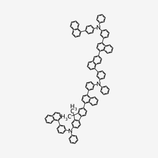 CC1(C)c2cc(-c3ccc(-c4cccc(N(c5ccccc5)c5cccc(-c6cccc7cc(-c8ccc(-c9cccc(N(c%10ccccc%10)c%10ccc(-c%11cccc%12ccccc%11%12)cc%10)c9)c9ccccc89)ccc67)c5)c4)c4ccccc34)ccc2-c2ccc(N(c3ccccc3)c3cccc(-c4cccc5ccccc45)c3)cc21